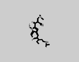 C\C=c1/c(=C\C(=C\F)C(CC)CCNC(C)C)cc(C(=O)/C(C#N)=C/N(C)C)n1SI